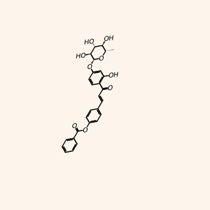 C[C@@H]1O[C@@H](Oc2ccc(C(=O)/C=C/c3ccc(OC(=O)c4ccccc4)cc3)c(O)c2)[C@@H](O)[C@H](O)[C@H]1O